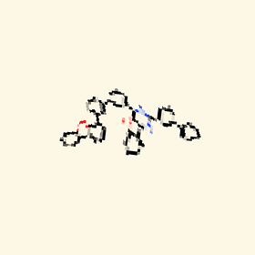 c1ccc(-c2cccc(-c3nc(-c4cccc(-c5cccc(-c6cccc7c6oc6ccccc67)c5)c4)c4oc5ccccc5c4n3)c2)cc1